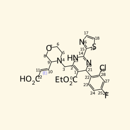 CCOC(=O)C1=C(CN2CCOCC2/C=C/C(=O)O)NC(c2nccs2)=NC1c1ccc(F)cc1Cl